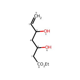 C=CC(O)CC(O)CC(=O)OCC